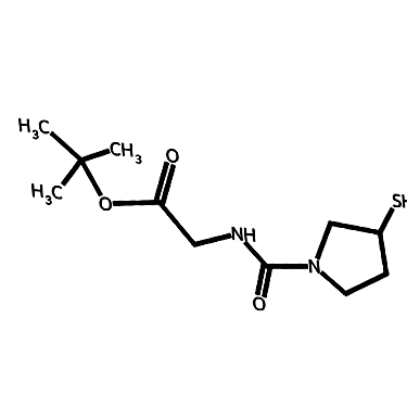 CC(C)(C)OC(=O)CNC(=O)N1CCC(S)C1